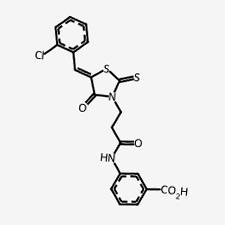 O=C(CCN1C(=O)/C(=C/c2ccccc2Cl)SC1=S)Nc1cccc(C(=O)O)c1